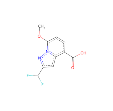 COc1ccc(C(=O)O)c2cc(C(F)F)nn12